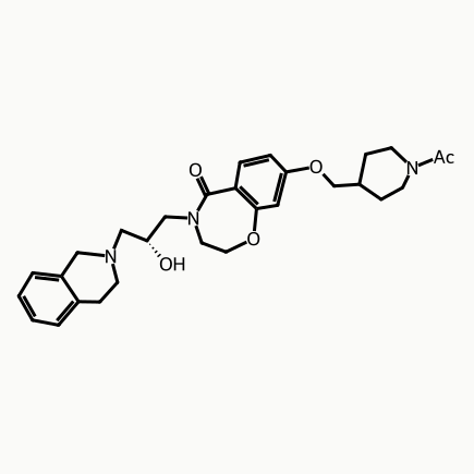 CC(=O)N1CCC(COc2ccc3c(c2)OCCN(C[C@H](O)CN2CCc4ccccc4C2)C3=O)CC1